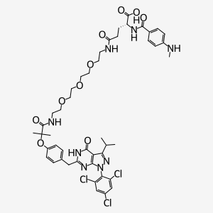 CNc1ccc(C(=O)N[C@H](CCC(=O)NCCOCCOCCOCCNC(=O)C(C)(C)Oc2ccc(Cc3nc4c(c(C(C)C)nn4-c4c(Cl)cc(Cl)cc4Cl)c(=O)[nH]3)cc2)C(=O)O)cc1